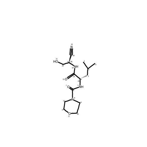 CC(C)C[C@H](NC(=O)N1CCOCC1)C(=O)N[C@H](C#N)CO